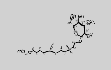 C[Si](C)(CCCCCCCCC(=O)O)CCO[C@@H]1O[C@H](CO)[C@@H](O)[C@H](O)[C@H]1O